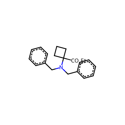 CCOC(=O)C1(N(Cc2ccccc2)Cc2ccccc2)CCC1